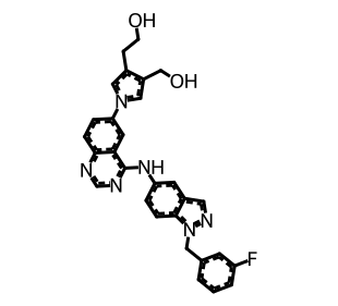 OCCc1cn(-c2ccc3ncnc(Nc4ccc5c(cnn5Cc5cccc(F)c5)c4)c3c2)cc1CO